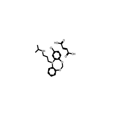 CC(C)NCCCN1c2ccccc2OCOc2ccc(Cl)cc21.O=C(O)C=CC(=O)O